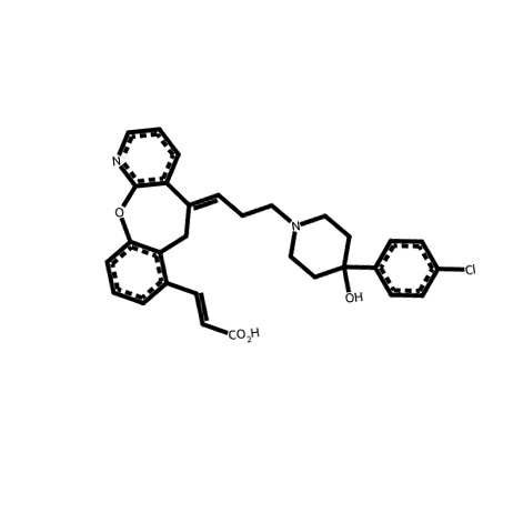 O=C(O)C=Cc1cccc2c1CC(=CCCN1CCC(O)(c3ccc(Cl)cc3)CC1)c1cccnc1O2